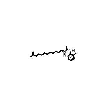 C=C(C)CCCCCCCCCCN(N)C(C)NC1=C(C)C=CCC1